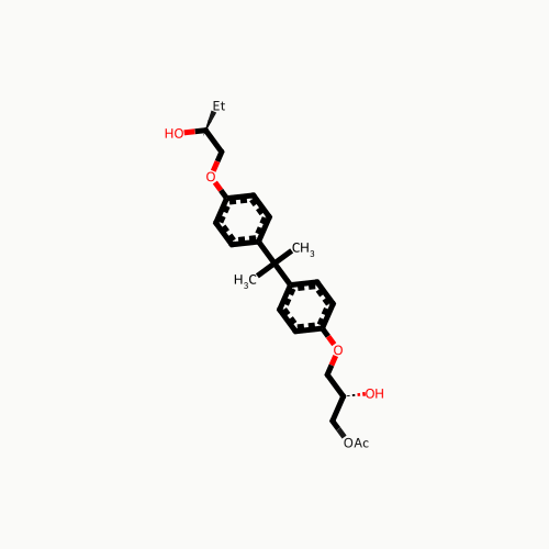 CC[C@H](O)COc1ccc(C(C)(C)c2ccc(OC[C@H](O)COC(C)=O)cc2)cc1